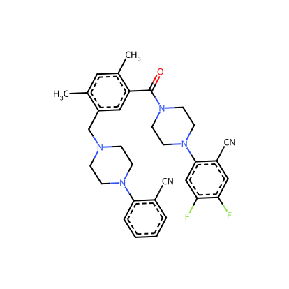 Cc1cc(C)c(C(=O)N2CCN(c3cc(F)c(F)cc3C#N)CC2)cc1CN1CCN(c2ccccc2C#N)CC1